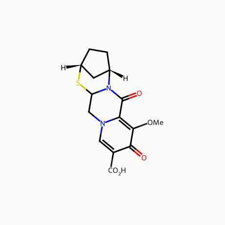 COc1c2n(cc(C(=O)O)c1=O)CC1S[C@@H]3CC[C@@H](C3)N1C2=O